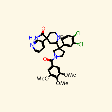 CCN1CCC(C(N)=O)(c2cccnc2)CC1C1(c2ccc(Cl)c(Cl)c2)CCN(C(=O)c2cc(OC)c(OC)c(OC)c2)C1